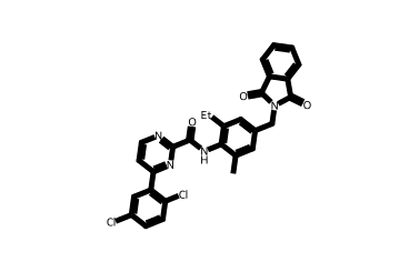 CCc1cc(CN2C(=O)c3ccccc3C2=O)cc(C)c1NC(=O)c1nccc(-c2cc(Cl)ccc2Cl)n1